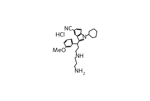 COc1cccc(C(CCNCCCN)c2cn(C3CCCCC3)c3ccc(C#N)cc23)c1.Cl